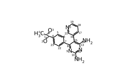 CS(=O)(=O)c1ccc(-c2nc(N)nc(N)c2-c2cccnc2)cc1